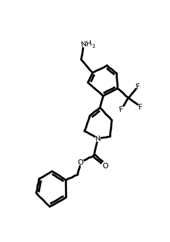 NCc1ccc(C(F)(F)F)c(C2=CCN(C(=O)OCc3ccccc3)CC2)c1